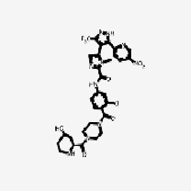 Cn1c(-c2c(C(F)(F)F)n[nH]c2-c2ccc([N+](=O)[O-])cn2)cnc1C(=O)Nc1ccc(C(=O)N2CCN(C(=O)[C@@H]3CC(O)CCN3)CC2)c(Cl)c1